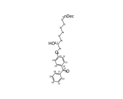 CCCCCCCCCCCCCCCCC(O)COc1ccc(C(=O)c2ccccc2)cc1